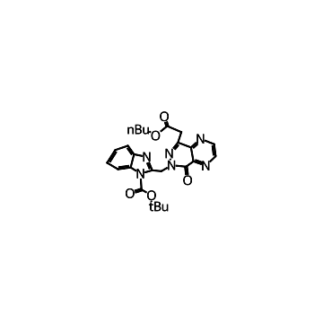 CCCCOC(=O)Cc1nn(Cc2nc3ccccc3n2C(=O)OC(C)(C)C)c(=O)c2nccnc12